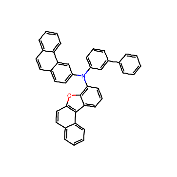 c1ccc(-c2cccc(N(c3ccc4ccc5ccccc5c4c3)c3cccc4c3oc3ccc5ccccc5c34)c2)cc1